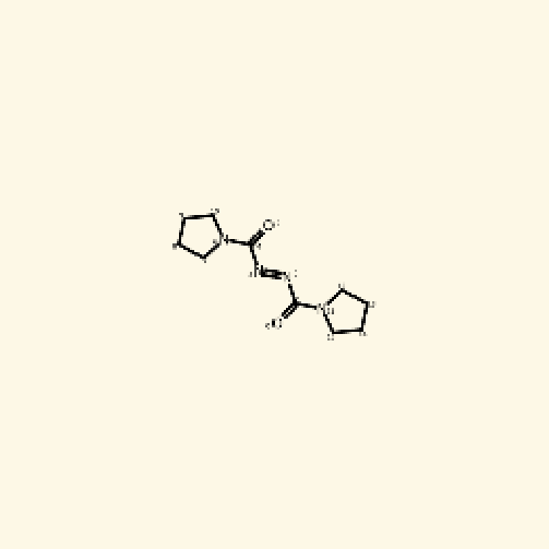 O=C(N=NC(=O)N1CCCC1)N1CCCC1